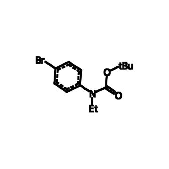 CCN(C(=O)OC(C)(C)C)c1ccc(Br)cc1